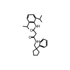 CC(C)c1cccc(C(C)C)c1NC(=O)CC(=O)NCC1(c2ccccc2)CCCC1